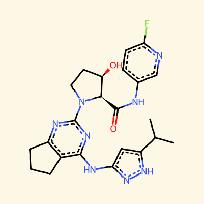 CC(C)c1cc(Nc2nc(N3CC[C@@H](O)[C@H]3C(=O)Nc3ccc(F)nc3)nc3c2CCC3)n[nH]1